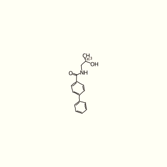 C[C@@H](O)CNC(=O)c1ccc(-c2ccccc2)cc1